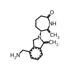 C=C1NC(=O)CCC[C@@H]1N1Cc2c(CN)cccc2C1=C